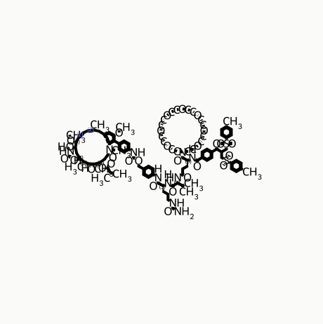 COc1cc2cc(c1-c1ccc(NC(=O)OCc3ccc(NC(=O)[C@H](CCCNC(N)=O)NC(=O)[C@H](NC(=O)CC[C@H](NC(=O)c4ccc(C(=O)C(CS(=O)(=O)c5ccc(C)cc5)CS(=O)(=O)c5ccc(C)cc5)cc4)C(=O)N4CCOCCOCCOCCOCCOCCOCCOCC4)C(C)C)cc3)cc1)N(C)C(=O)C[C@@H](OC(=O)C(C)C)[C@@]1(C)O[C@@H]1[C@@H](C)[C@H]1CC(O)(NC(=O)O1)[C@@H](OC)/C=C\C=C(\C)C2